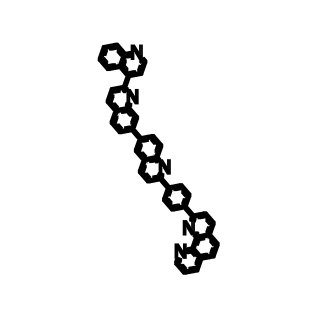 c1cnc2c(c1)ccc1ccc(-c3ccc(-c4ccc5cc(-c6ccc7ccc(-c8ccnc9ccccc89)nc7c6)ccc5n4)cc3)nc12